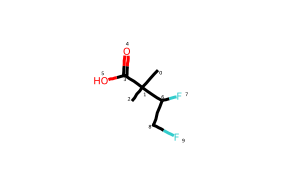 CC(C)(C(=O)O)C(F)CF